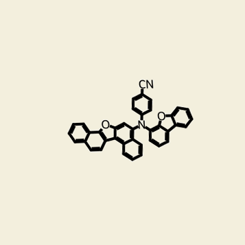 N#Cc1ccc(N(c2cc3oc4c5ccccc5ccc4c3c3ccccc23)c2cccc3c2oc2ccccc23)cc1